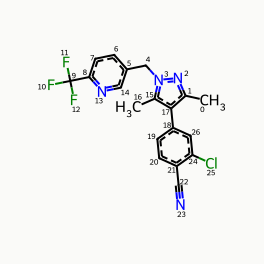 Cc1nn(Cc2ccc(C(F)(F)F)nc2)c(C)c1-c1ccc(C#N)c(Cl)c1